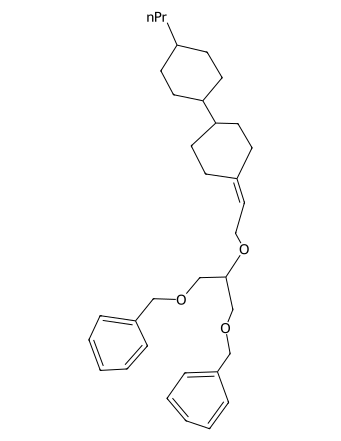 CCCC1CCC(C2CCC(=CCOC(COCc3ccccc3)COCc3ccccc3)CC2)CC1